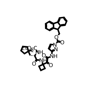 CCOC(=O)N[C@@H](CC1(F)CCCC1)C(=O)NC1(C(=O)C(=O)Nc2ccn(C(=O)OCC3c4ccccc4-c4ccccc43)n2)CCC1